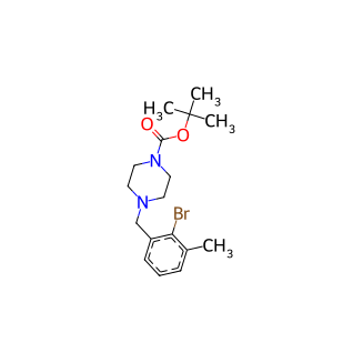 Cc1cccc(CN2CCN(C(=O)OC(C)(C)C)CC2)c1Br